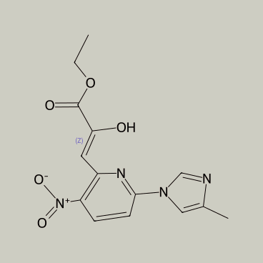 CCOC(=O)/C(O)=C/c1nc(-n2cnc(C)c2)ccc1[N+](=O)[O-]